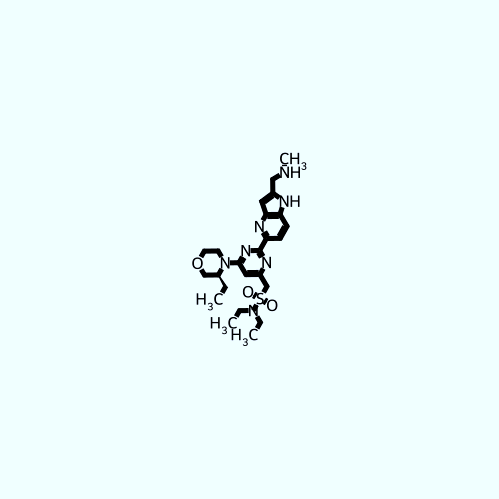 CC[C@H]1COCCN1c1cc(CS(=O)(=O)N(CC)CC)nc(-c2ccc3[nH]c(CNC)cc3n2)n1